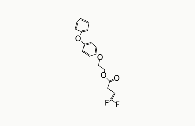 O=C(CC=C(F)F)OCCOc1ccc(Oc2ccccc2)cc1